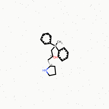 C[Si](C[C@@H](O)C[C@@H]1CCCN1)(c1ccccc1)c1ccccc1